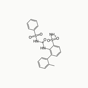 Cc1ccccc1-c1cccc(S(N)(=O)=O)c1NC(=O)NS(=O)(=O)c1ccccc1